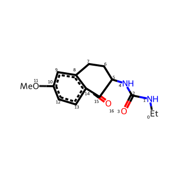 CCNC(=O)NC1CCc2cc(OC)ccc2C1=O